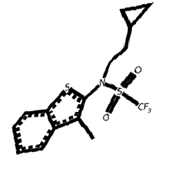 Cc1c(N(CCC2CC2)S(=O)(=O)C(F)(F)F)sc2ccccc12